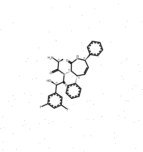 C[C@H](N)C(=O)N(C(=O)[C@H](O)c1cc(F)cc(F)c1)[C@@H]1C(=O)N[C@@H](c2ccccc2)C=C[C@@H]1c1ccccc1